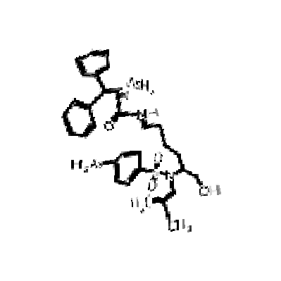 CC(C)CN(C(CO)CCCCNC(=O)[C@@H]([AsH2])C(c1ccccc1)c1ccccc1)S(=O)(=O)c1ccc([AsH2])cc1